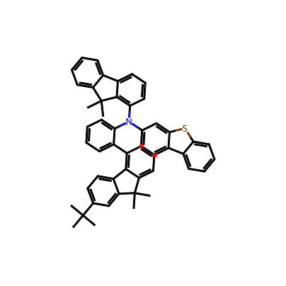 CC(C)(C)c1ccc2c(c1)C(C)(C)c1cccc(-c3ccccc3N(c3ccc4c(c3)sc3ccccc34)c3cccc4c3C(C)(C)c3ccccc3-4)c1-2